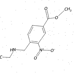 CCNCc1ccc(C(=O)OC)cc1[N+](=O)[O-]